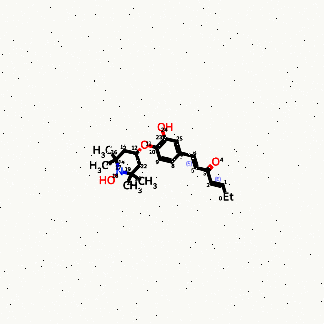 CC/C=C/C(=O)/C=C/c1ccc(OC2CC(C)(C)N(O)C(C)(C)C2)c(O)c1